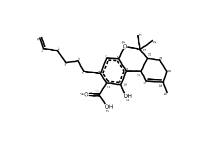 C=CCCCCc1cc2c(c(O)c1C(=O)O)C1C=C(C)CCC1C(C)(C)O2